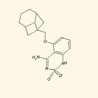 NC1=NS(=O)(=O)Nc2cccc(OCC34CC5CCCC(C3)C54)c21